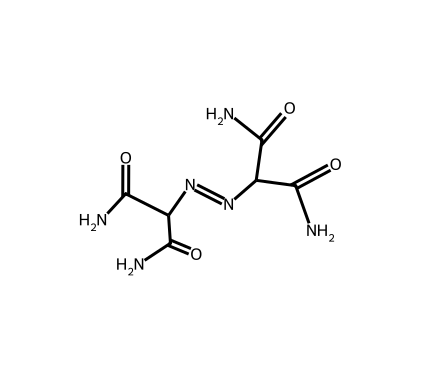 NC(=O)C(N=NC(C(N)=O)C(N)=O)C(N)=O